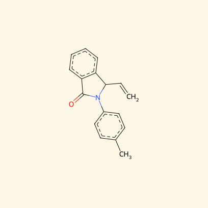 C=CC1c2ccccc2C(=O)N1c1ccc(C)cc1